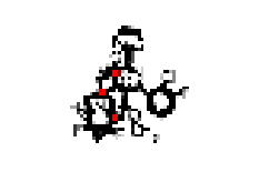 COC(=O)C1=C(CN2[C@H]3C[C@@H](CC(=O)O)C[C@@H]2C2(F)CC32F)NC(c2nccs2)=N[C@H]1c1cccc(F)c1Cl